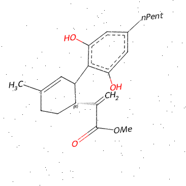 C=C(C(=O)OC)[C@@H]1CCC(C)=CC1c1c(O)cc(CCCCC)cc1O